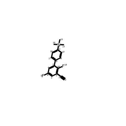 C#Cc1cc(F)cc(-c2ccc([Si](C)(C)C)cc2)c1F